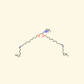 CCCC/C=C\CCCCCCCCCCOCC(CNC)OCCCCCCCCCC/C=C\CCCC